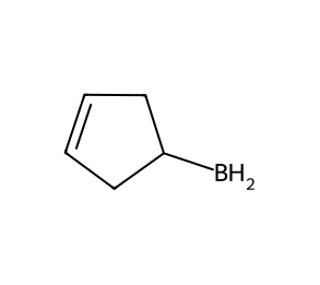 BC1CC=CC1